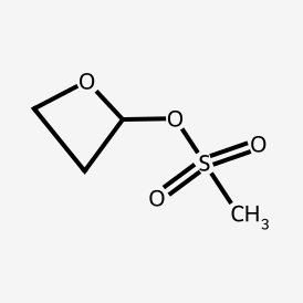 CS(=O)(=O)OC1CCO1